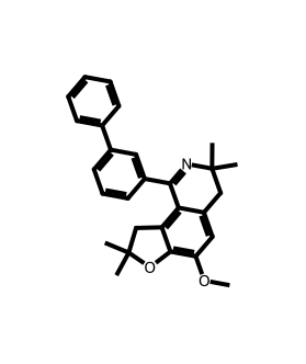 COc1cc2c(c3c1OC(C)(C)C3)C(c1cccc(-c3ccccc3)c1)=NC(C)(C)C2